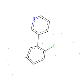 Fc1cc[c]cc1-c1cccnc1